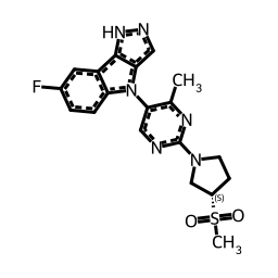 Cc1nc(N2CC[C@H](S(C)(=O)=O)C2)ncc1-n1c2ccc(F)cc2c2[nH]ncc21